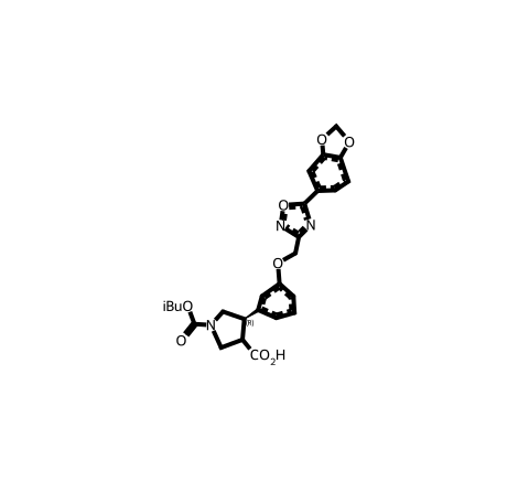 CC(C)COC(=O)N1CC(C(=O)O)[C@H](c2cccc(OCc3noc(-c4ccc5c(c4)OCO5)n3)c2)C1